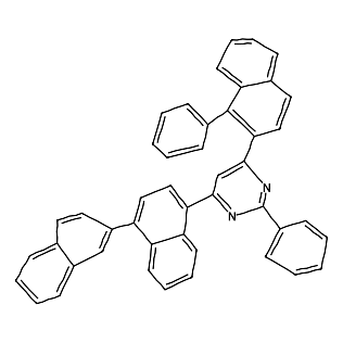 c1ccc(-c2nc(-c3ccc4ccccc4c3-c3ccccc3)cc(-c3ccc(-c4ccc5ccccc5c4)c4ccccc34)n2)cc1